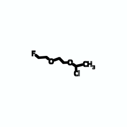 CC(Cl)OCCOCCF